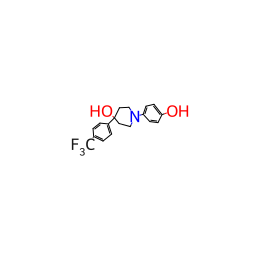 Oc1ccc(N2CCC(O)(c3ccc(C(F)(F)F)cc3)CC2)cc1